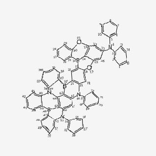 c1ccc(N(c2ccccc2)c2cc3c4c(c2)Oc2cc5c(cc2B4c2ccccc2O3)B2c3ccccc3N3c4ccccc4B4c6ccccc6N(c6ccccc6)c6cc(c2c3c64)N5c2ccccc2)cc1